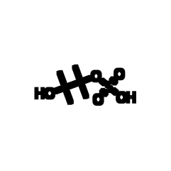 CC(C)(O)C(C)(C)OS(=O)(=O)O